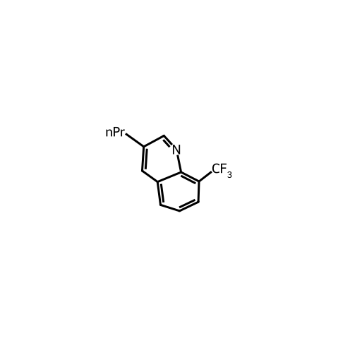 CCCc1cnc2c(C(F)(F)F)cccc2c1